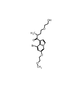 COCCOc1cc(Br)c2c(C(=O)N(C)CCOCCO)ccn2c1